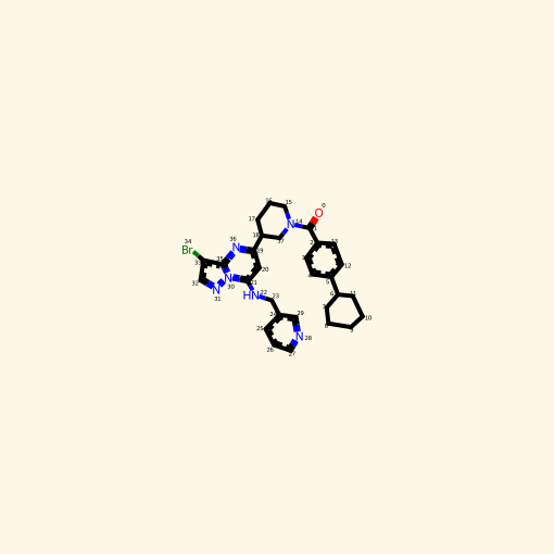 O=C(c1ccc(C2CCCCC2)cc1)N1CCCC(c2cc(NCc3cccnc3)n3ncc(Br)c3n2)C1